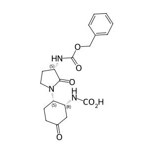 O=C1CC[C@H](N2CC[C@H](NC(=O)OCc3ccccc3)C2=O)[C@H](NC(=O)O)C1